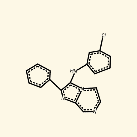 Clc1cccc(Nc2c(-c3ccccc3)nc3cnccn23)c1